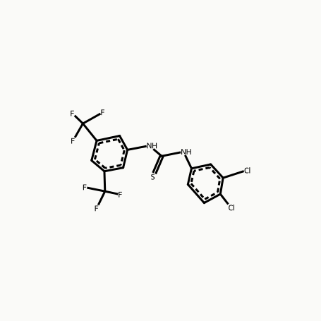 FC(F)(F)c1cc(NC(=S)Nc2ccc(Cl)c(Cl)c2)cc(C(F)(F)F)c1